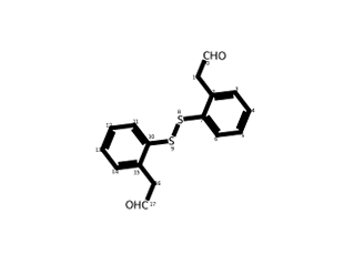 O=CCc1ccccc1SSc1ccccc1CC=O